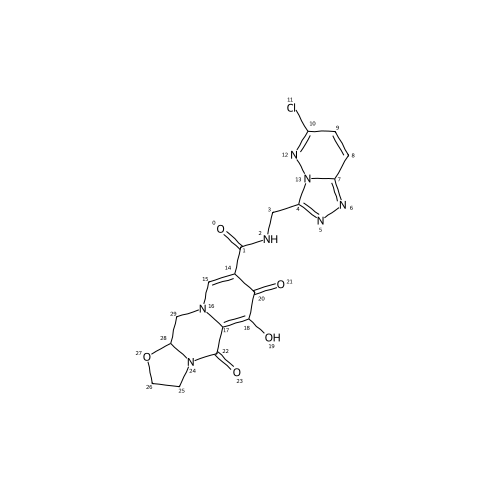 O=C(NCc1nnc2ccc(Cl)nn12)c1cn2c(c(O)c1=O)C(=O)N1CCOC1C2